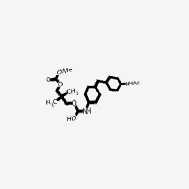 COC(=O)OCC(C)(C)COC(O)NC1CCC(CC2CCC(NC(C)=O)CC2)CC1